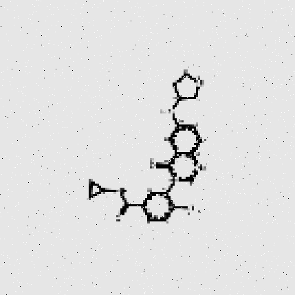 Cc1ccc(C(=O)NC2CC2)cc1-n1cnc2ccc(OC3CCNC3)cc2c1=O